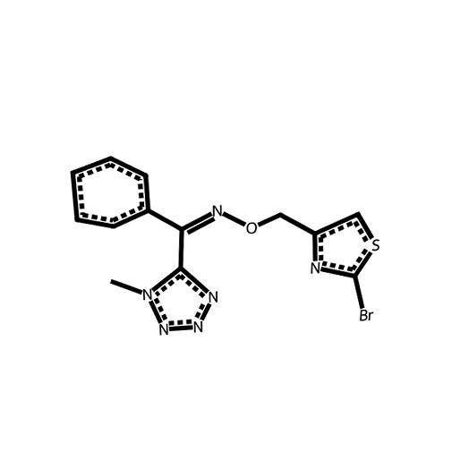 Cn1nnnc1C(=NOCc1csc(Br)n1)c1ccccc1